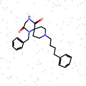 O=C1CNC(=O)C2(CCN(CCCCc3ccccc3)CC2)N1Cc1ccccc1